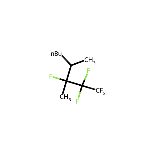 CCCCC(C)C(C)(F)C(F)(F)C(F)(F)F